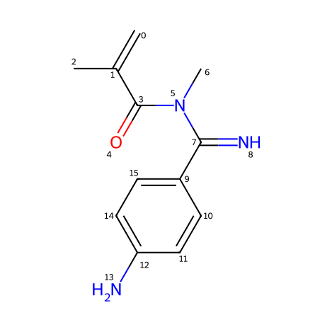 C=C(C)C(=O)N(C)C(=N)c1ccc(N)cc1